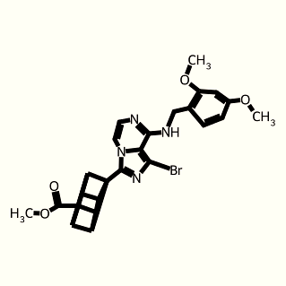 COC(=O)C12C3C4C1C1C2C3C41c1nc(Br)c2c(NCc3ccc(OC)cc3OC)nccn12